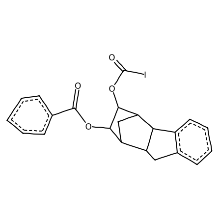 O=C(I)OC1C2CC(C3Cc4ccccc4C32)C1OC(=O)c1ccccc1